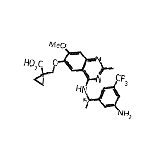 COc1cc2nc(C)nc(N[C@H](C)c3cc(N)cc(C(F)(F)F)c3)c2cc1OCC1(C(=O)O)CC1